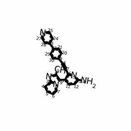 Cc1nc2ccccn2c1-c1ccc(N)nc1C#Cc1ccc(-c2ccncc2)cc1